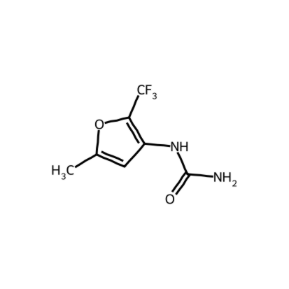 Cc1cc(NC(N)=O)c(C(F)(F)F)o1